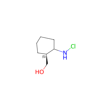 OC[C@H]1CCCCC1NCl